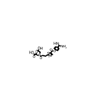 N=C(N)c1ccc(OC(=O)c2cnc(CCC(=O)N(CCC(=O)O)CC(=O)O)s2)cc1